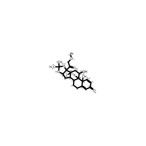 CC(C)OCC(=O)C12OC(C)(C)OC1CC1C3CCC4=CC(=O)C=CC4(C)C3(F)C(O)CC12C